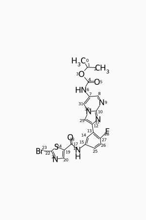 CC(C)OC(=O)Nc1cnc2nc(-c3cc(NC(=O)c4cnc(Br)s4)ccc3F)cn2c1